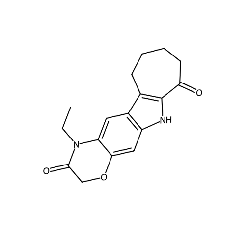 CCN1C(=O)COc2cc3[nH]c4c(c3cc21)CCCCC4=O